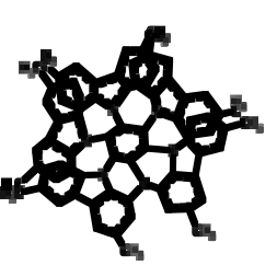 Cc1ccc2c(c1)-c1cc(C)cc3c1B2c1c2c(c(-n4c5ccc(C)cc5c5cc(C)ccc54)c(-n4c5ccc(C)cc5c5cc(C)ccc54)c1-n1c4ccc(C)cc4c4cc(C)ccc41)B1c4ccc(C)cc4-c4cc(C)cc(c41)N32